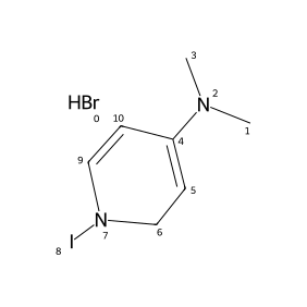 Br.CN(C)C1=CCN(I)C=C1